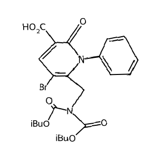 CC(C)COC(=O)N(Cc1c(Br)cc(C(=O)O)c(=O)n1-c1ccccc1)C(=O)OCC(C)C